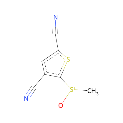 C[S+]([O-])c1sc(C#N)cc1C#N